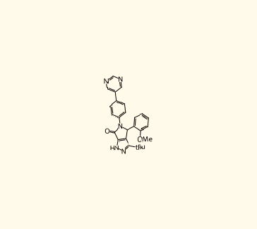 COc1ccccc1C1c2c(C(C)(C)C)n[nH]c2C(=O)N1c1ccc(-c2cncnc2)cc1